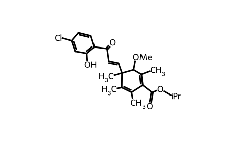 COC1C(C)=C(C(=O)OC(C)C)C(C)=C(C)C1(C)C=CC(=O)c1ccc(Cl)cc1O